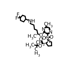 Cc1cnc(S(=O)(=O)N2CCC[C@H]2C(=O)OC(C)(C)C)c(O[C@H](C)CCCCNC2CCC(F)(F)CC2)n1